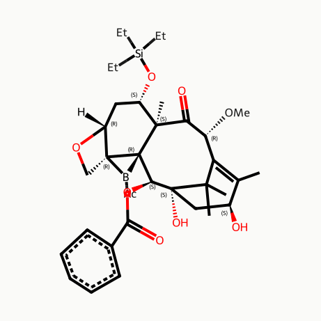 CC[Si](CC)(CC)O[C@H]1C[C@H]2OC[C@]23B(C(C)=O)[C@@]32[C@H](OC(=O)c3ccccc3)[C@]3(O)C[C@H](O)C(C)=C([C@@H](OC)C(=O)[C@]12C)C3(C)C